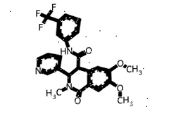 COc1cc2c(cc1OC)C(C(=O)Nc1cccc(C(F)(F)F)c1)C(c1cccnc1)N(C)C2=O